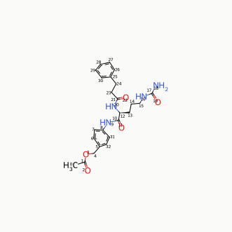 CC(=O)OCc1ccc(NC(=O)[C@H](CCCNC(N)=O)NC(=O)CCc2ccccc2)cc1